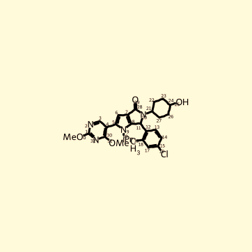 COc1ncc(-c2cc3c(n2C(C)C)C(c2ccc(Cl)cc2C)N(C2CCC(O)CC2)C3=O)c(OC)n1